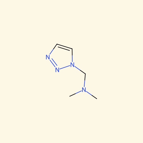 CN(C)Cn1ccnn1